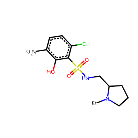 CCN1CCCC1CNS(=O)(=O)c1c(Cl)ccc([N+](=O)[O-])c1O